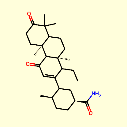 CCC1C(C2C[C@@H](C(N)=O)CC[C@H]2C)=CC(=O)C2[C@@]1(C)CCC1C(C)(C)C(=O)CC[C@@]12C